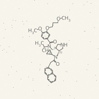 COCCCOc1cc(C(=O)N(C[C@@H]2CNC[C@H]2CN(C(=O)Cc2ccc3ccccc3c2)C2CC2)C(C)C)ccc1OC